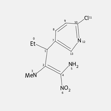 CCC(C(NC)=C(N)[N+](=O)[O-])c1ccc(Cl)nc1